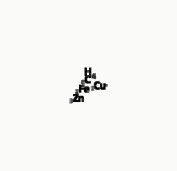 C.[Cu].[Fe].[Zn]